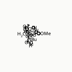 C=CC1C[C@]1(NC(=O)[C@@H]1C[C@@H](Oc2cc(-c3ccccn3)nc3cc(OC)ccc23)CN1C(=O)[C@@H](CC(=O)N1CCCC(F)(F)C1)C(C)(C)C)C(=O)N(C1CC1)[SH](=O)=O